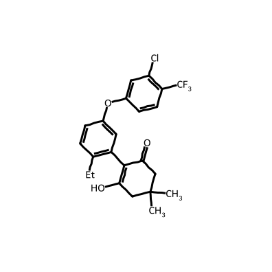 CCc1ccc(Oc2ccc(C(F)(F)F)c(Cl)c2)cc1C1=C(O)CC(C)(C)CC1=O